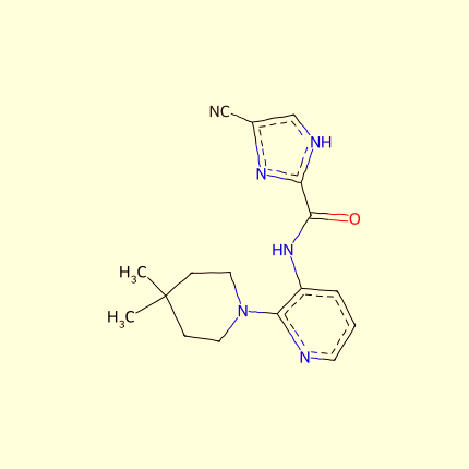 CC1(C)CCN(c2ncccc2NC(=O)c2nc(C#N)c[nH]2)CC1